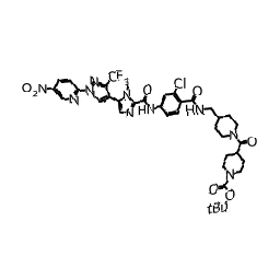 Cn1c(-c2cn(-c3ccc([N+](=O)[O-])cn3)nc2C(F)(F)F)cnc1C(=O)Nc1ccc(C(=O)NCC2CCN(C(=O)C3CCN(C(=O)OC(C)(C)C)CC3)CC2)c(Cl)c1